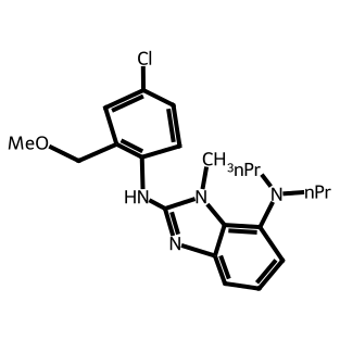 CCCN(CCC)c1cccc2nc(Nc3ccc(Cl)cc3COC)n(C)c12